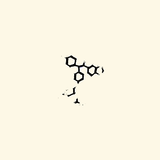 CCCC(=O)OC(COc1ccc(/C(=C(/CC)c2ccc3c(c2)OCO3)c2ccc(O)cc2)cc1)CN(C)C